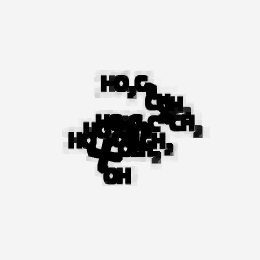 C=C(C)C(=O)O.C=CC(=O)O.C=CC(=O)O.C=CC(=O)O.OCC(CO)(CO)CO